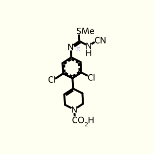 CS/C(=N/c1cc(Cl)c(C2=CCN(C(=O)O)CC2)c(Cl)c1)NC#N